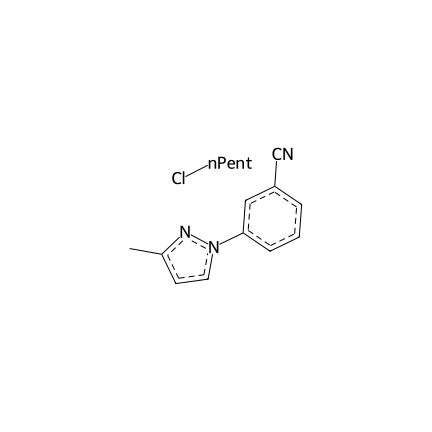 CCCCCCl.Cc1ccn(-c2cccc(C#N)c2)n1